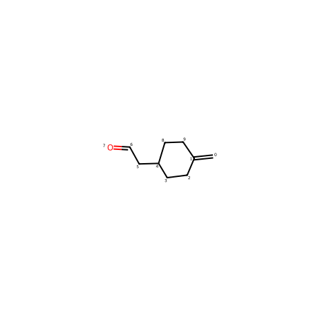 C=C1CCC(CC=O)CC1